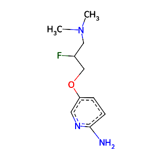 CN(C)CC(F)COc1ccc(N)nc1